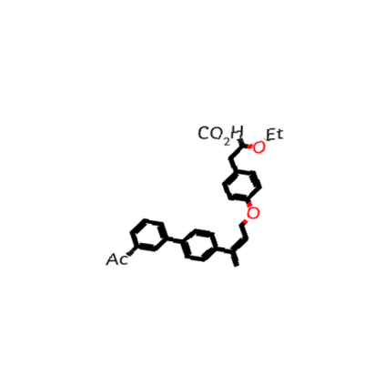 CCOC(Cc1ccc(OCC=C(C)c2ccc(-c3cccc(C(C)=O)c3)cc2)cc1)C(=O)O